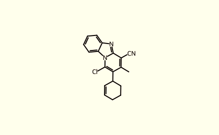 Cc1c(C2C=CCCC2)c(Cl)n2c(nc3ccccc32)c1C#N